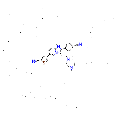 CN1CCCN(CCc2c(-c3ccc(C#N)cc3)nc3ccc(-c4csc(C#N)c4)cn23)CC1